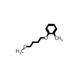 COCCCCOc1ccccc1C